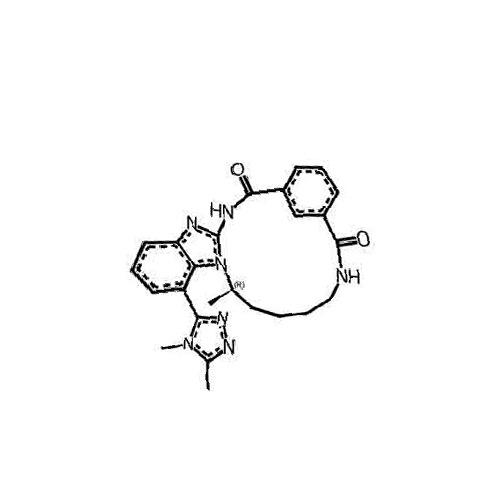 Cc1nnc(-c2cccc3nc4n(c23)[C@H](C)CCCCNC(=O)c2cccc(c2)C(=O)N4)n1C